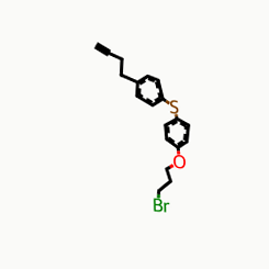 C#CCCc1ccc(Sc2ccc(OCCCBr)cc2)cc1